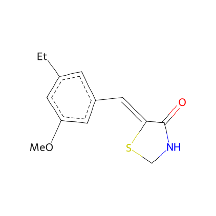 CCc1cc(/C=C2\SCNC2=O)cc(OC)c1